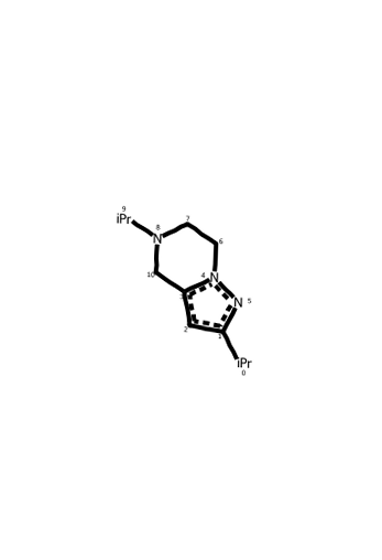 CC(C)c1cc2n(n1)CCN(C(C)C)C2